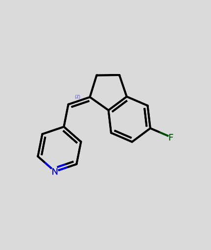 Fc1ccc2c(c1)CC/C2=C/c1ccncc1